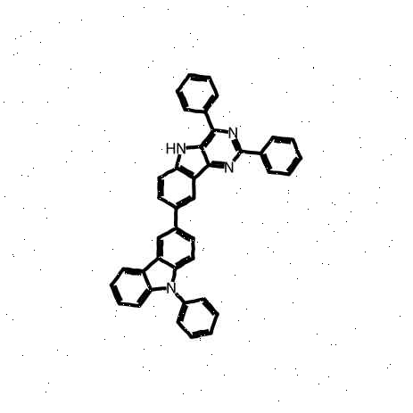 c1ccc(-c2nc(-c3ccccc3)c3[nH]c4ccc(-c5ccc6c(c5)c5ccccc5n6-c5ccccc5)cc4c3n2)cc1